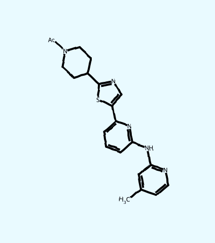 CC(=O)N1CCC(c2ncc(-c3cccc(Nc4cc(C)ccn4)n3)s2)CC1